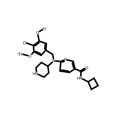 CCOc1cc(CN(c2ccc(C(=O)NC3CCC3)cn2)C2CCNCC2)cc(OCC)c1Cl